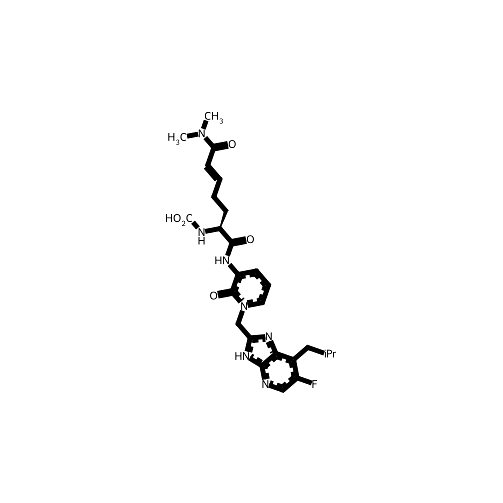 CC(C)Cc1c(F)cnc2[nH]c(Cn3cccc(NC(=O)[C@H](CC/C=C/C(=O)N(C)C)NC(=O)O)c3=O)nc12